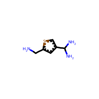 NCc1cc(C(N)N)cs1